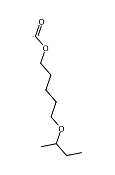 CCC(C)OCCCCCO[C]=O